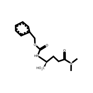 CN(C)C(=O)CC[C@H](NC(=O)OCc1ccccc1)C(=O)O